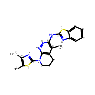 CCCc1sc(N2CCCc3c2nnc(Nc2nc4ccccc4s2)c3C)nc1C(=O)O